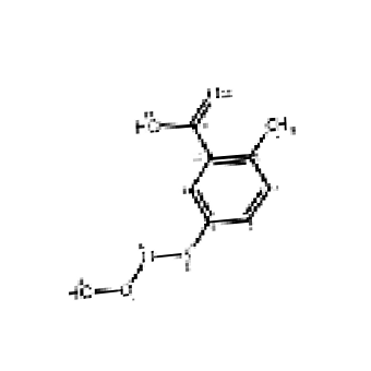 Cc1ccc(SOOO)cc1C(=O)O